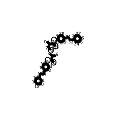 C=C(COCC(=C)C(=O)Oc1ccc(CCc2ccccc2)cc1)C(=O)Oc1ccc(CCc2ccccc2)cc1